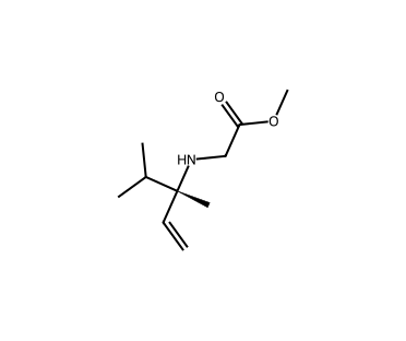 C=C[C@@](C)(NCC(=O)OC)C(C)C